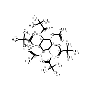 CC(=O)O[C@@H]1[C@@H](OC(=O)C(C)(C)C)[C@H](OC(=O)C(C)(C)C)[C@H](OC(C)=O)[C@H](OC(=O)C(C)(C)C)[C@H]1OC(=O)C(C)(C)C